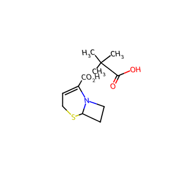 CC(C)(C)C(=O)O.O=C(O)C1=CCSC2CCN12